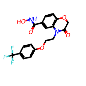 O=C(NO)c1ccc2c(c1)N(CCOc1ccc(C(F)(F)F)cc1)C(=O)CO2